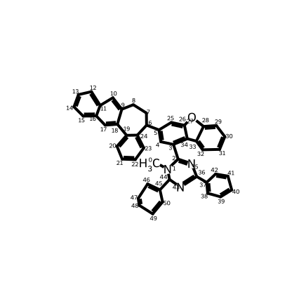 CN1C(c2cc(C3CCc4cc5ccccc5cc4-c4ccccc43)cc3oc4ccccc4c23)=NC(c2ccccc2)=NC1c1ccccc1